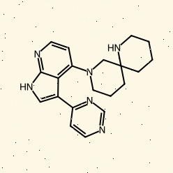 c1cc(-c2c[nH]c3nccc(N4CCCC5(CCCCN5)C4)c23)ncn1